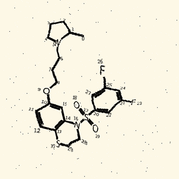 CC1CCCN1CCCOc1ccc2c(c1)N(S(=O)(=O)c1cc(F)cc(F)c1)CCS2